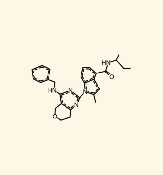 CCC(C)NC(=O)c1cccc2c1cc(C)n2-c1nc2c(c(NCc3ccccc3)n1)COCC2